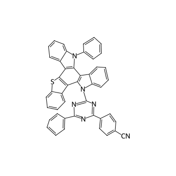 N#Cc1ccc(-c2nc(-c3ccccc3)nc(-n3c4ccccc4c4c5c(c6ccccc6n5-c5ccccc5)c5sc6ccccc6c5c43)n2)cc1